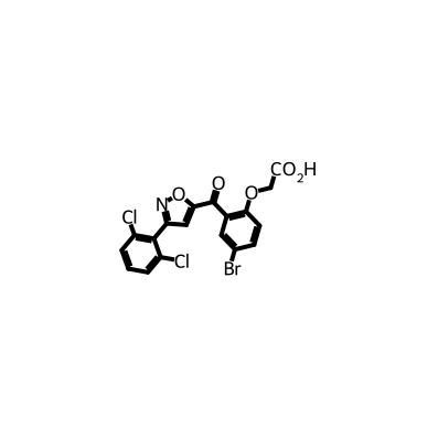 O=C(O)COc1ccc(Br)cc1C(=O)c1cc(-c2c(Cl)cccc2Cl)no1